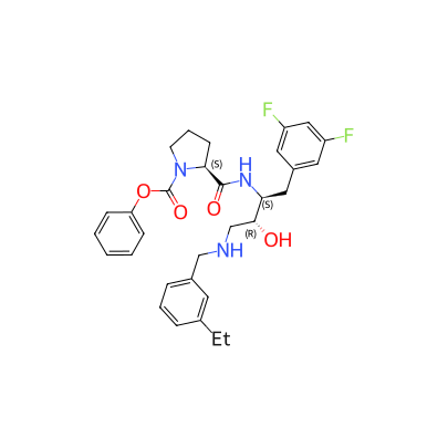 CCc1cccc(CNC[C@@H](O)[C@H](Cc2cc(F)cc(F)c2)NC(=O)[C@@H]2CCCN2C(=O)Oc2ccccc2)c1